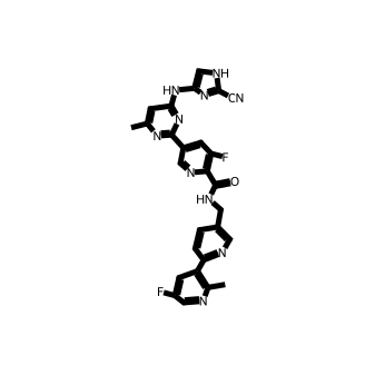 Cc1cc(Nc2c[nH]c(C#N)n2)nc(-c2cnc(C(=O)NCc3ccc(-c4cc(F)cnc4C)nc3)c(F)c2)n1